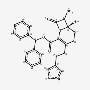 NC1C(=O)N2C(C(=O)OC(c3ccccc3)c3ccccc3)=C(CSc3c[nH]nn3)CS[C@@H]12